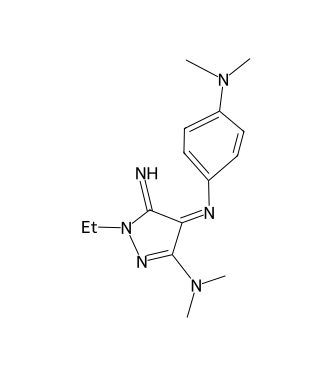 CCN1N=C(N(C)C)C(=Nc2ccc(N(C)C)cc2)C1=N